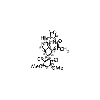 C=CC(=O)NC1COCC1Nc1ncc2cc(-c3c(Cl)c(OC)cc(OC)c3Cl)cc(Cl)c2n1